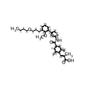 CCCCOCCCc1cccc(-c2csc(NC(=O)c3cc(F)c(C=C(C)C(=O)O)c(F)c3)n2)c1OC